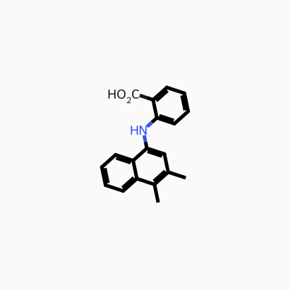 Cc1cc(Nc2ccccc2C(=O)O)c2ccccc2c1C